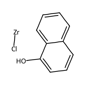 Oc1cccc2ccccc12.[Cl][Zr]